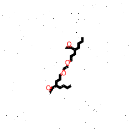 CCCCC(CCCOCCOCCCC(CCCC)C1CO1)C1CO1